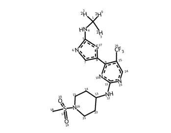 [2H]C([2H])([2H])Nc1ncc(-c2nc(NC3CCN(S(C)(=O)=O)CC3)ncc2C(F)(F)F)s1